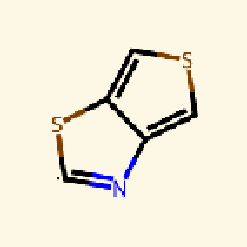 [c]1nc2cscc2s1